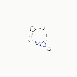 C=C1COc2ccc(F)cc2C(=O)N2CCCCC2c2cc3nc(N4CCC4)cc(n3n2)N(C)CCN1C